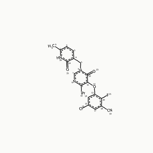 Cc1ccc(Cn2cnc(C(C)C)c(Oc3cc(Cl)cc(C#N)c3F)c2=O)c(=O)[nH]1